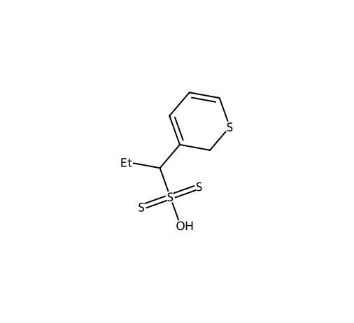 CCC(C1=CC=CSC1)S(O)(=S)=S